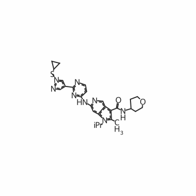 Cc1c(C(=O)NC2CCOCC2)c2cnc(Nc3ccnc(-c4cnn(SC5CC5)c4)n3)cc2n1C(C)C